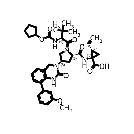 C=C[C@@H]1C[C@]1(NC(=O)[C@@H]1C[C@@H](N2Cc3cccc(-c4cccc(OC)c4)c3NC2=O)CN1C(=O)[C@@H](NC(=O)OC1CCCC1)C(C)(C)C)C(=O)O